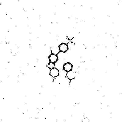 CN1Cc2nc3cc(F)c(-c4ccc(S(C)(=O)=O)cc4)cc3n2[C@H](c2ccccc2OC(F)F)C1